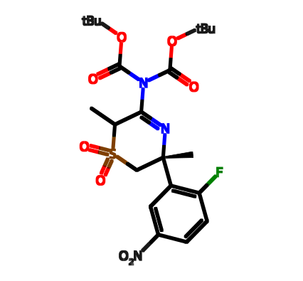 CC1C(N(C(=O)OC(C)(C)C)C(=O)OC(C)(C)C)=N[C@](C)(c2cc([N+](=O)[O-])ccc2F)CS1(=O)=O